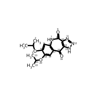 CC(C)Oc1cc2[nH]c(=O)c3nn[nH]c3c(=O)c2cc1OC(C)C